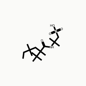 CCC(C)(C)CC(C)(C(=O)NC(C)(C)CS(=O)(=O)O)C(C)(C)C